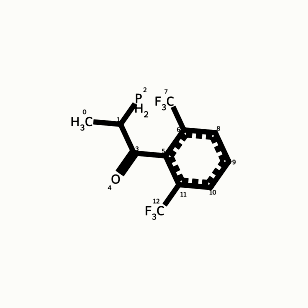 CC(P)C(=O)c1c(C(F)(F)F)cccc1C(F)(F)F